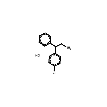 Cl.NCC(c1ccccc1)c1ccc(Cl)cc1